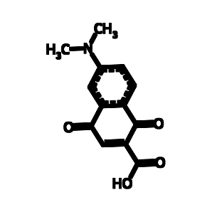 CN(C)c1ccc2c(c1)C(=O)C=C(C(=O)O)C2=O